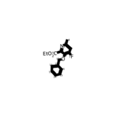 CCOC(=O)c1nc(C)cc(F)c1OCc1ccccc1